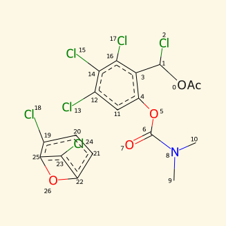 CC(=O)OC(Cl)c1c(OC(=O)N(C)C)cc(Cl)c(Cl)c1Cl.Clc1ccc2c(Cl)c1O2